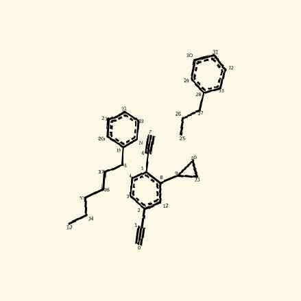 C#Cc1ccc(C#C)c(C2CC2)c1.CCCCCCc1ccccc1.CCCc1ccccc1